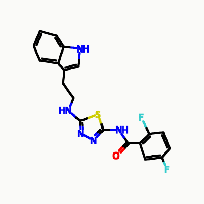 O=C(Nc1nnc(NCCc2c[nH]c3ccccc23)s1)c1cc(F)ccc1F